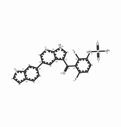 CCCS(=O)(=O)Nc1ccc(F)c(C(=O)c2c[nH]c3ncc(-c4ccc5ccsc5c4)cc23)c1F